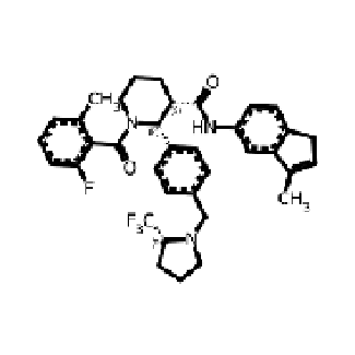 CC1=CCc2ccc(NC(=O)[C@H]3CCCN(C(=O)c4c(C)cccc4F)[C@H]3c3ccc(CN4CCC[C@@H]4C(F)(F)F)cc3)cc21